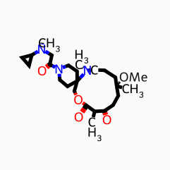 CO[C@]1(C)CCCN(C)C2(CCN(C(=O)CN(C)C3CC3)CC2)COC(=O)C(C)C(=O)CC1